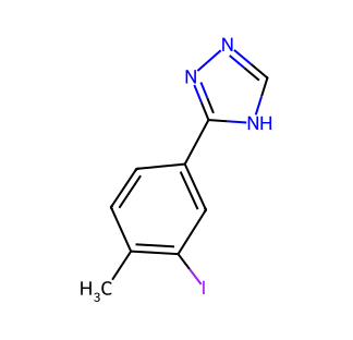 Cc1ccc(-c2nnc[nH]2)cc1I